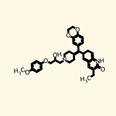 CCc1cc2c([nH]c1=O)=CCC(C(=C1CCN(CC(O)COc3ccc(OC)cc3)CC1)c1ccc3c(c1)OCCO3)C=2